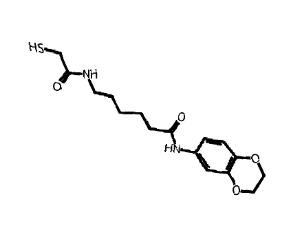 O=C(CS)NCCCCCC(=O)Nc1ccc2c(c1)OCCO2